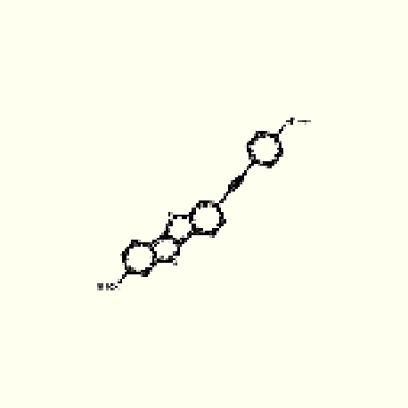 CCCCCCc1ccc2c(c1)sc1c3ccc(C#Cc4ccc(CCCCC)cc4)cc3sc21